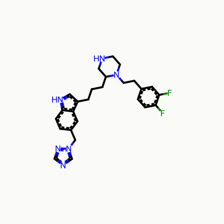 Fc1ccc(CCN2CCNCC2CCCc2c[nH]c3ccc(Cn4cncn4)cc23)cc1F